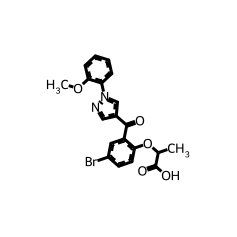 COc1ccccc1-n1cc(C(=O)c2cc(Br)ccc2OC(C)C(=O)O)cn1